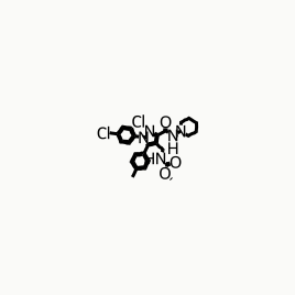 COC(=O)NCc1c(C(=O)NN2CCCCC2)nn(-c2ccc(Cl)cc2Cl)c1-c1ccc(C)cc1